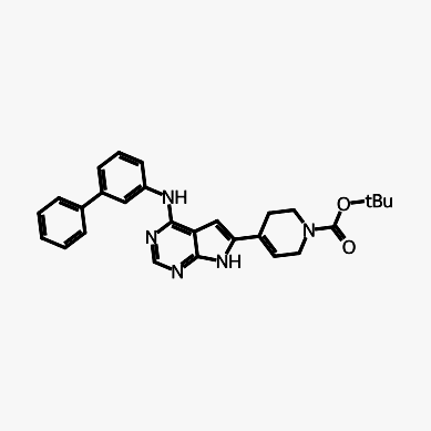 CC(C)(C)OC(=O)N1CC=C(c2cc3c(Nc4cccc(-c5ccccc5)c4)ncnc3[nH]2)CC1